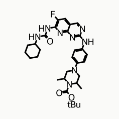 CC1CN(c2ccc(Nc3ncc4cc(F)c(NC(=O)NC5CCCCC5)nc4n3)cc2)CC(C)N1C(=O)OC(C)(C)C